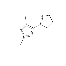 Cc1nn(C)cc1C1=NCCC1